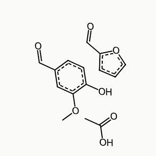 CC(=O)O.COc1cc(C=O)ccc1O.O=Cc1ccco1